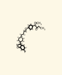 CCC(=O)C(OC)c1ccc(OCCCCN2CCC(c3noc4cc(F)ccc34)CC2)cc1